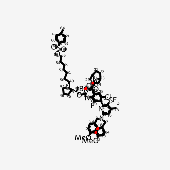 COc1ccc(CN(Cc2ccc(OC)cc2)c2cc(C)c(C(F)(F)F)c(-c3c(Cl)cc4c(N5CC6CCC(C5)N6C(=O)OC(C)(C)C)nc(OC[C@@H]5CCCN5CCCCCCCOS(=O)(=O)c5ccc(C)cc5)nc4c3F)n2)cc1